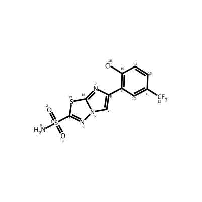 NS(=O)(=O)c1nn2cc(-c3cc(C(F)(F)F)ccc3Cl)nc2s1